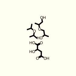 CC(C)OC(C)C.CC(O)COC(C)CO.O=C(O)CC(O)C(=O)O